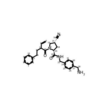 C=CC(CCc1ccccc1)C(=O)N1C[C@H](C#N)C[C@H]1C(=O)NCc1ccc(CN)cc1